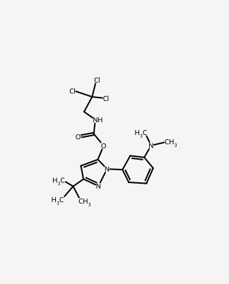 CN(C)c1cccc(-n2nc(C(C)(C)C)cc2OC(=O)NCC(Cl)(Cl)Cl)c1